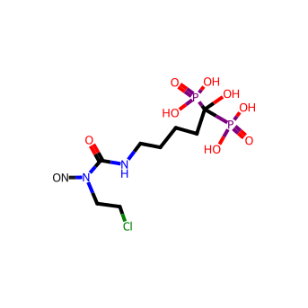 O=NN(CCCl)C(=O)NCCCCC(O)(P(=O)(O)O)P(=O)(O)O